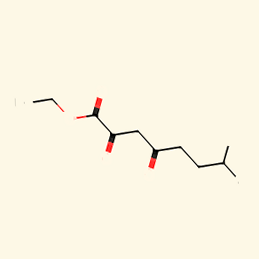 CCOC(=O)C(=O)CC(=O)CCC(C)C